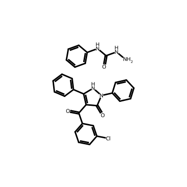 NNC(=O)Nc1ccccc1.O=C(c1cccc(Cl)c1)c1c(-c2ccccc2)[nH]n(-c2ccccc2)c1=O